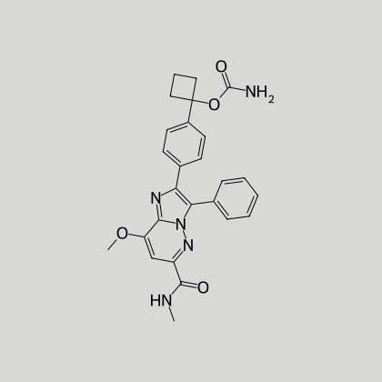 CNC(=O)c1cc(OC)c2nc(-c3ccc(C4(OC(N)=O)CCC4)cc3)c(-c3ccccc3)n2n1